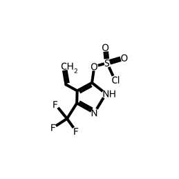 C=Cc1c(C(F)(F)F)n[nH]c1OS(=O)(=O)Cl